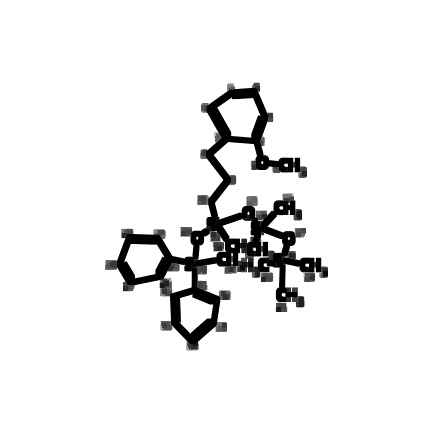 COc1ccccc1CCC[Si](C)(O[Si](C)(C)O[Si](C)(C)C)O[Si](C)(c1ccccc1)c1ccccc1